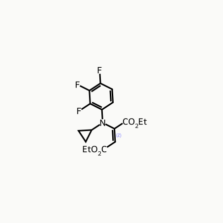 CCOC(=O)/C=C(/C(=O)OCC)N(c1ccc(F)c(F)c1F)C1CC1